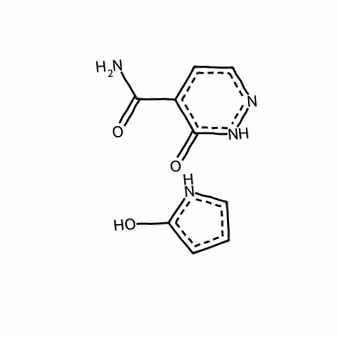 NC(=O)c1ccn[nH]c1=O.Oc1ccc[nH]1